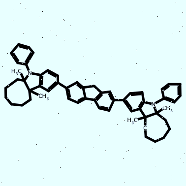 CC12CCCCCCC1(C)N(c1ccccc1)c1ccc(-c3ccc4c(c3)Cc3cc(-c5ccc6c(c5)C5(C)CCCCCCC5(C)N6c5ccccc5)ccc3-4)cc12